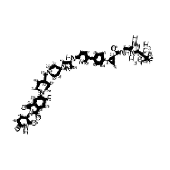 CC(C)(c1n[nH]c(CNC(=O)[C@H]2C[C@@H]2c2ccc(-c3ccc(Nc4cnn(C5CCN(CC6CCN(c7cc8c(cc7F)C(=O)N(C7CCC(=O)NC7=O)C8=O)CC6)CC5)c4)nc3)cc2)n1)C(F)(F)F